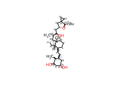 C=C1/C(=C\C=C2/CCC[C@]3(C)[C@@H]([C@H](C)[C@H](O)CCCC4(C(=O)CCCC)CC4)CC[C@@H]23)C[C@@H](O)C[C@@H]1O